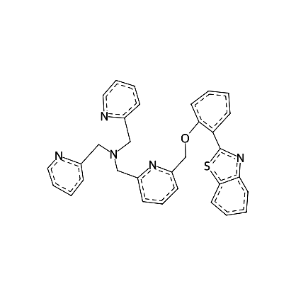 c1ccc(CN(Cc2ccccn2)Cc2cccc(COc3ccccc3-c3nc4ccccc4s3)n2)nc1